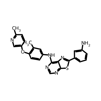 Cc1ccc(Oc2ccc(Nc3ncnc4sc(-c5cccc(N)c5)nc34)cc2C)cn1